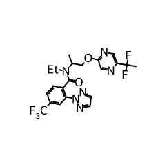 CCN(C(=O)c1ccc(C(F)(F)F)cc1-n1nccn1)C(C)COc1cnc(C(C)(F)F)cn1